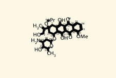 C=C(CO)C1(OCCC)Cc2c(O)c3c(c(O)c2C(OC2CC(N)C(O)C(C)O2)C1)C(=O)c1c(OC)cccc1C3=O